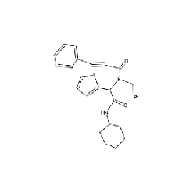 CC(C)CN(C(=O)C#Cc1ccccc1)C(C(=O)NC1CCCCC1)c1cccs1